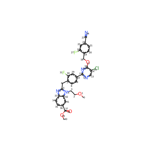 COCCn1c(Cc2ccc(-c3ncc(Cl)c(OCc4ccc(C#N)cc4F)n3)cc2F)nc2ccc(C(=O)OC)cc21